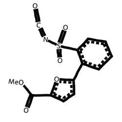 COC(=O)c1ccc(-c2ccccc2S(=O)(=O)N=C=O)o1